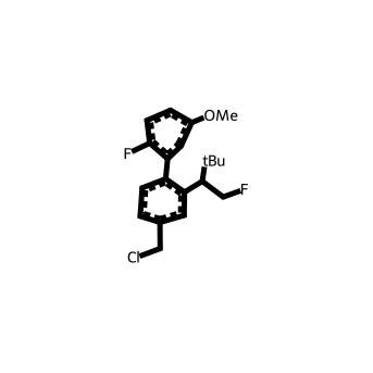 COc1ccc(F)c(-c2ccc(CCl)cc2C(CF)C(C)(C)C)c1